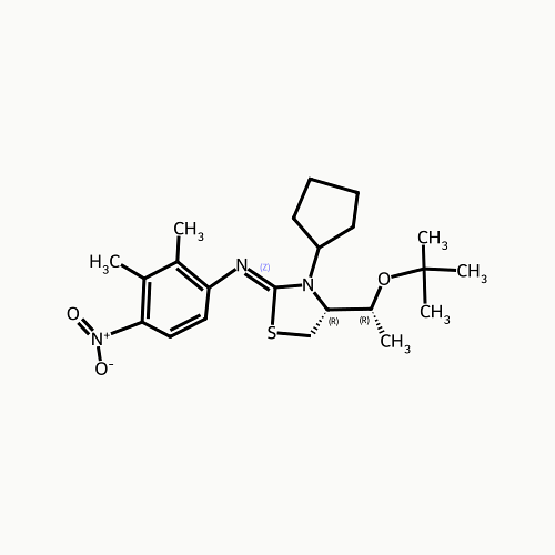 Cc1c(/N=C2\SC[C@@H]([C@@H](C)OC(C)(C)C)N2C2CCCC2)ccc([N+](=O)[O-])c1C